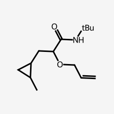 C=CCOC(CC1CC1C)C(=O)NC(C)(C)C